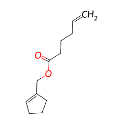 C=CCCCC(=O)OCC1=CCCC1